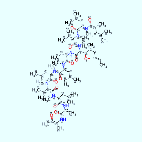 C/C=C/C[C@@H](C)[C@@H](O)[C@@H](C(=O)N[C@@H](CC)C(=O)N(C)[C@@H](CC(C)C)C(=O)N(C)[C@@H](CC(C)C)C(=O)N[C@H](C(=O)N(C)[C@@H](CC(C)C)C(=O)N[C@@H](C)C(=O)N[C@H](C)C(C)=O)C(C)C)N(C)C(=O)C(C(C)C)N(C)C(=O)[C@H](CC(C)C)N(C)C(=O)[C@H](C)CC(C)C